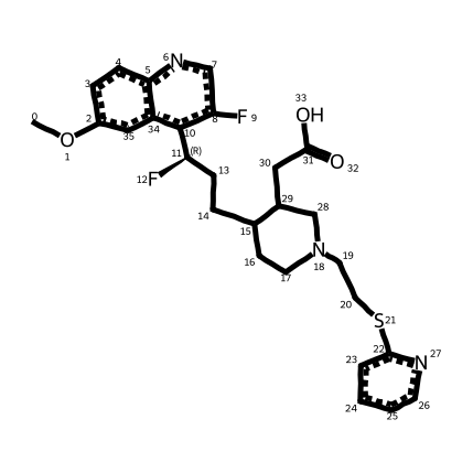 COc1ccc2ncc(F)c([C@H](F)CCC3CCN(CCSc4ccccn4)CC3CC(=O)O)c2c1